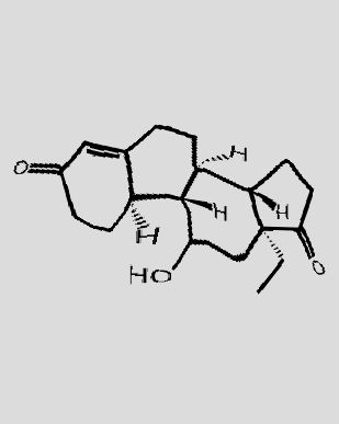 CC[C@]12CC(O)[C@H]3[C@@H](CCC4=CC(=O)CC[C@@H]43)[C@@H]1CCC2=O